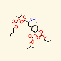 CCCCOC(=O)OC(C)[C@H](C)OC(=O)[C@@H](N)Cc1ccc(OC(=O)OCC(C)C)c(OC(=O)OCC(C)C)c1